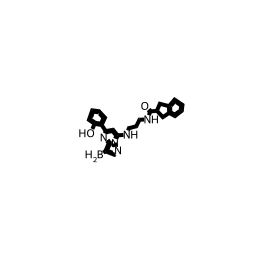 Bc1cnn2c(NCCCNC(=O)C3Cc4ccccc4C3)cc(-c3ccccc3O)nc12